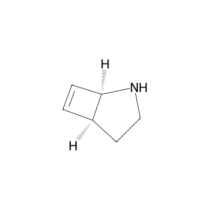 C1=C[C@H]2NCC[C@@H]12